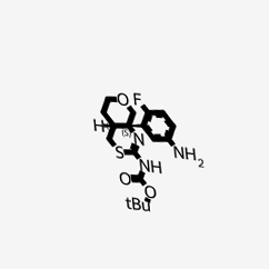 CC(C)(C)OC(=O)NC1=N[C@@]2(c3cc(N)ccc3F)COCC[C@H]2CS1